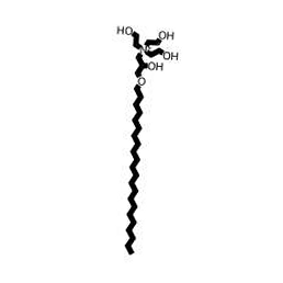 CCCCCCCCCCCCCCCCCCCCCCOCC(O)C[N+](CCO)(CCO)CCO